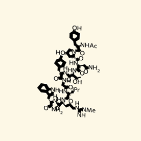 CNC(=N)NCCC[C@H](NC(=O)[C@H](CC(C)C)NC(=O)CNC(=O)[C@H](Cc1ccc(C)cc1)NC(=O)[C@@H](NC(=O)[C@H](CC(N)=O)NC(=O)[C@@H]1C[C@@H](O)CN1C(=O)[C@@H](Cc1ccc(O)cc1)NC(C)=O)[C@@H](C)O)C(=O)N[C@@H](Cc1c[nH]c2ccccc12)C(N)=O